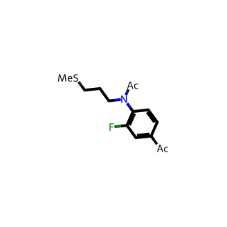 CSCCCN(C(C)=O)c1ccc(C(C)=O)cc1F